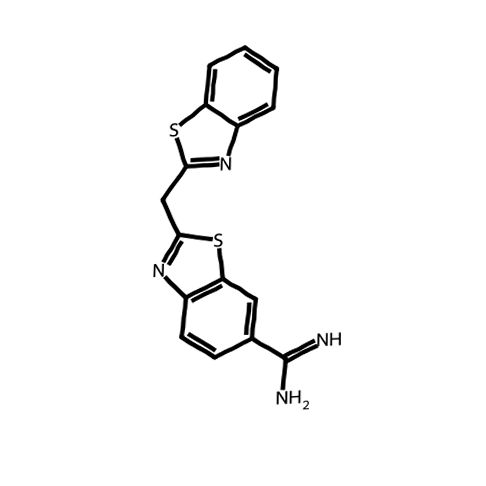 N=C(N)c1ccc2nc(Cc3nc4ccccc4s3)sc2c1